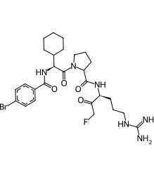 N=C(N)NCCC[C@H](NC(=O)C1CCCN1C(=O)[C@@H](NC(=O)c1ccc(Br)cc1)C1CCCCC1)C(=O)CF